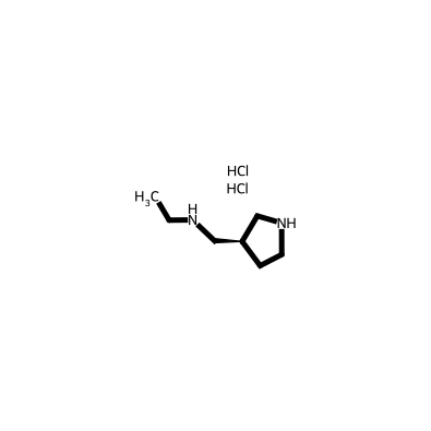 CCNC[C@@H]1CCNC1.Cl.Cl